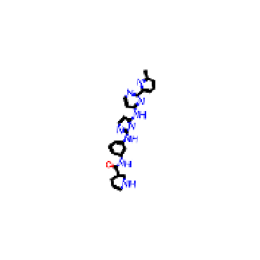 Cc1cccc(-c2nccc(Nc3ccnc(Nc4cccc(NC(=O)C5CCCNC5)c4)n3)n2)n1